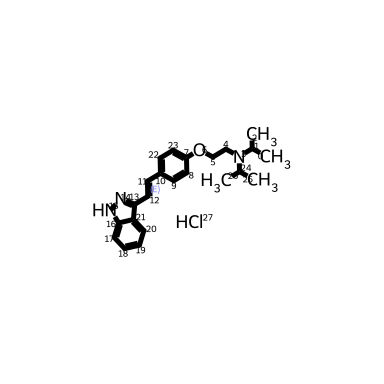 CC(C)N(CCOc1ccc(/C=C/c2n[nH]c3ccccc23)cc1)C(C)C.Cl